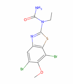 CCN(C(N)=O)c1nc2cc(Br)c(OC)c(Br)c2s1